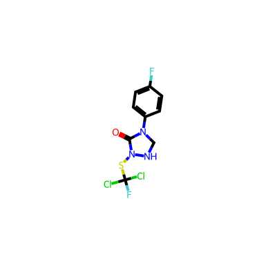 O=C1N(SC(F)(Cl)Cl)NCN1c1ccc(F)cc1